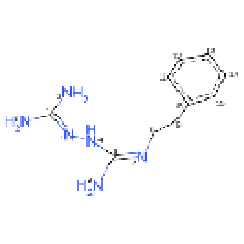 NC(N)=NNC(N)=NCCc1ccccc1